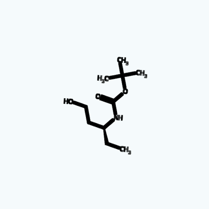 CC[C@@H](CCO)NC(=O)OC(C)(C)C